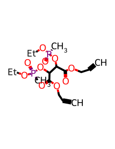 C#CCOC(=O)C(OP(C)(=O)OCC)C(OP(C)(=O)OCC)C(=O)OCC#C